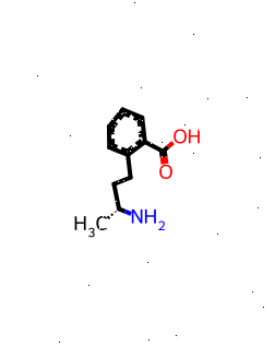 C[C@@H](N)CCc1ccccc1C(=O)O